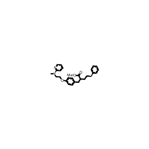 COC(=O)C(CCCc1ccccc1)Cc1ccc(OCCN(C)c2ccccn2)cc1